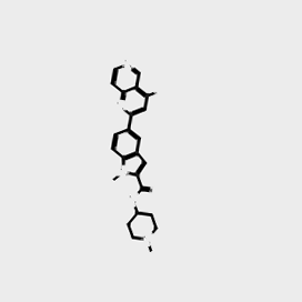 CN1CCC(NC(=O)c2cc3cc(-c4cc(O)c5cnccc5n4)ccc3n2C)CC1